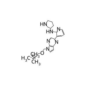 C[Si](C)(C)CCOCn1ccc2nc(-c3cccnc3NC3CCCNC3)cnc21